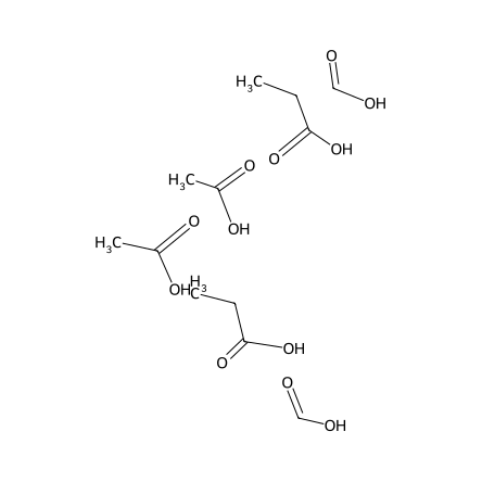 CC(=O)O.CC(=O)O.CCC(=O)O.CCC(=O)O.O=CO.O=CO